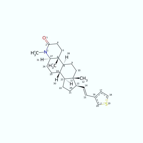 CN1C(=O)CC[C@]2(C)[C@H]3CC[C@]4(C)[C@@H](/C=C/c5ccsc5)CC[C@H]4[C@@H]3CC[C@@H]12